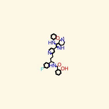 CN1CCc2[nH]c(-c3ccnc(CCC(CNC(=O)c4ccccc4O)c4ccc(F)cc4)c3)c(Nc3ccccc3)c2C1=O